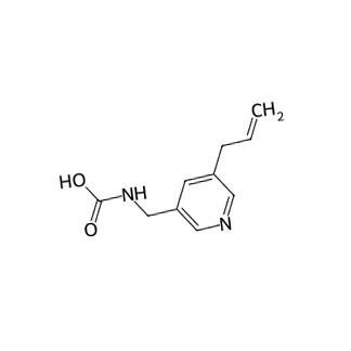 C=CCc1cncc(CNC(=O)O)c1